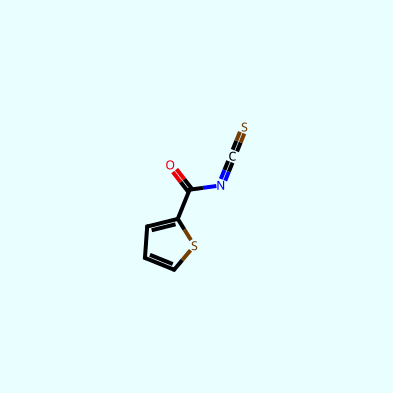 O=C(N=C=S)c1cccs1